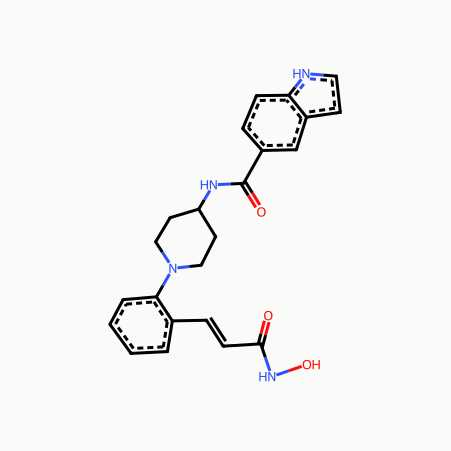 O=C(C=Cc1ccccc1N1CCC(NC(=O)c2ccc3[nH]ccc3c2)CC1)NO